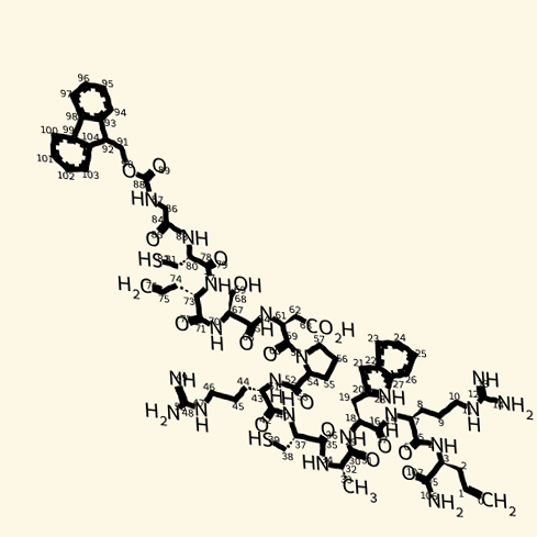 C=CC[C@H](NC(=O)[C@H](CCCNC(=N)N)NC(=O)[C@H](Cc1cc2ccccc2[nH]1)NC(=O)[C@H](C)NC(=O)[C@H](CS)NC(=O)[C@H](CCCNC(=N)N)NC(=O)C1CCCN1C(=O)[C@H](CC(=O)O)NC(=O)[C@H](CO)NC(=O)[C@H](CC=C)NC(=O)[C@H](CS)NC(=O)CNC(=O)OCC1c2ccccc2-c2ccccc21)C(N)=O